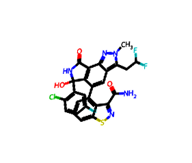 Cn1nc2c3c(c(-c4cccc5snc(C(N)=O)c45)cc2c1CC(F)F)C(O)(c1cc(F)ccc1Cl)NC3=O